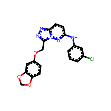 Clc1cccc(Nc2ccc3nnc(COc4ccc5c(c4)OCO5)n3n2)c1